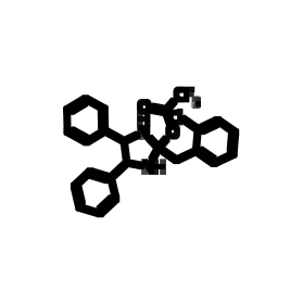 O=C(OC1(Cc2ccccc2Cl)NC(c2ccccc2)C(c2ccccc2)N1)C(F)(F)F